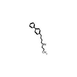 CCCNCCCCc1ccc(-c2ccccc2)cc1